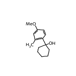 COc1ccc(C2(O)CCCCC2)c(C)c1